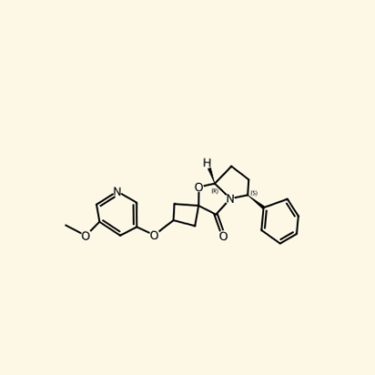 COc1cncc(OC2CC3(C2)O[C@@H]2CC[C@@H](c4ccccc4)N2C3=O)c1